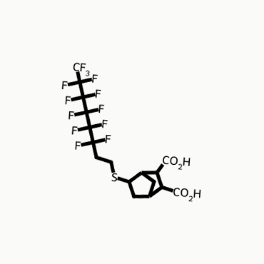 O=C(O)C1C2CC(SCCC(F)(F)C(F)(F)C(F)(F)C(F)(F)C(F)(F)C(F)(F)F)C(C2)C1C(=O)O